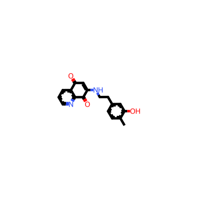 Cc1ccc(CCNC2=CC(=O)c3cccnc3C2=O)cc1O